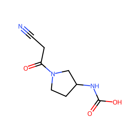 N#CCC(=O)N1CCC(NC(=O)O)C1